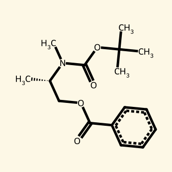 C[C@@H](COC(=O)c1ccccc1)N(C)C(=O)OC(C)(C)C